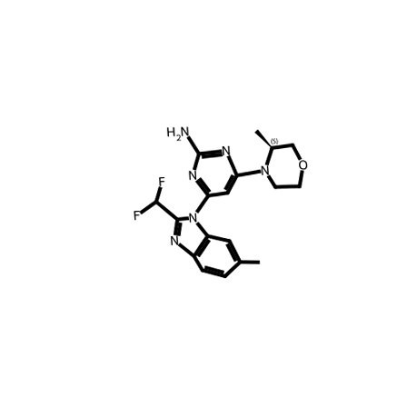 Cc1ccc2nc(C(F)F)n(-c3cc(N4CCOC[C@@H]4C)nc(N)n3)c2c1